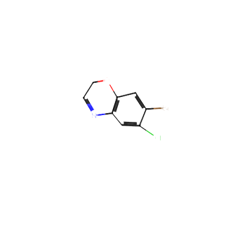 Clc1cc2c(cc1Br)OCC=N2